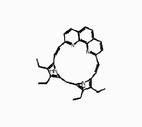 CCc1c2[nH]c(c1CC)Cc1[nH]c(c(CC)c1CC)/C=C\c1ccc3ccc4ccc(nc4c3n1)/C=C\2